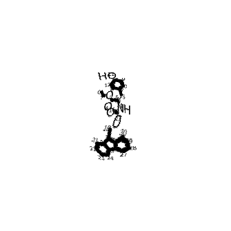 CCOC(=O)[C@H](Cc1ccc(O)cc1)NC(=O)OCC1c2ccccc2-c2ccccc21